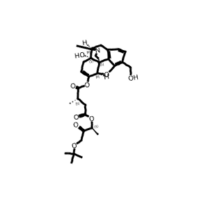 C[C@H](OC(=O)C[C@H](C)C(=O)OC1=CC[C@@]2(O)[C@H]3Cc4ccc(CO)c5c4[C@@]2(CCN3C)[C@H]1O5)C(=O)COC(C)(C)C